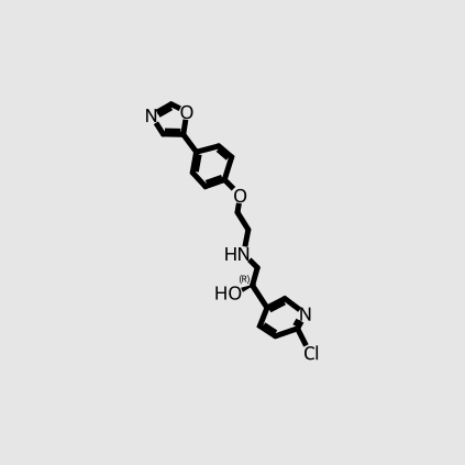 O[C@@H](CNCCOc1ccc(-c2cnco2)cc1)c1ccc(Cl)nc1